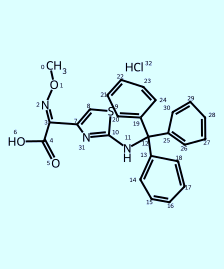 CO/N=C(/C(=O)O)c1csc(NC(c2ccccc2)(c2ccccc2)c2ccccc2)n1.Cl